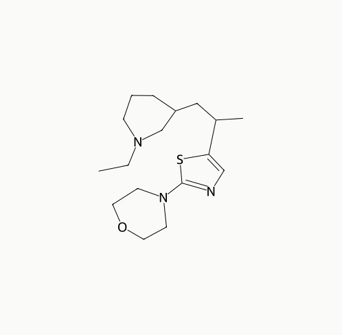 CCN1CCCC(CC(C)c2cnc(N3CCOCC3)s2)C1